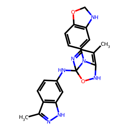 CC1=C2NOC(Nc3ccc4c(C)n[nH]c4c3)(N=C1)N2c1ccc2c(c1)NCO2